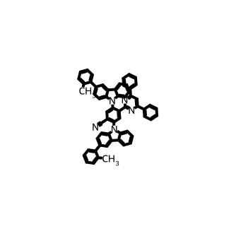 Cc1ccccc1-c1ccc2c(c1)c1ccccc1n2-c1cc(-c2nc(-c3ccccc3)cc(-c3ccccc3)n2)c(-n2c3ccccc3c3cc(-c4ccccc4C)ccc32)cc1C#N